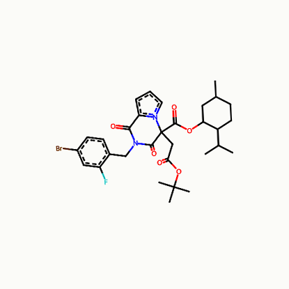 CC1CCC(C(C)C)C(OC(=O)C2(CC(=O)OC(C)(C)C)C(=O)N(Cc3ccc(Br)cc3F)C(=O)c3cccn32)C1